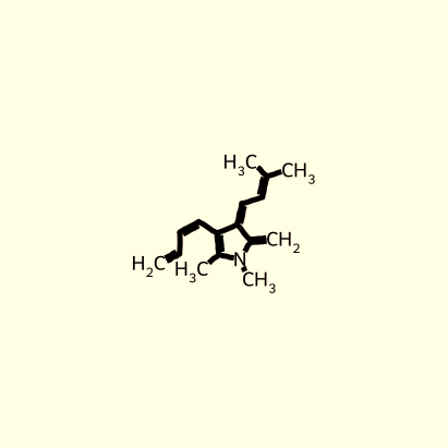 C=C/C=C\c1c(C)n(C)c(=C)/c1=C\C=C(C)C